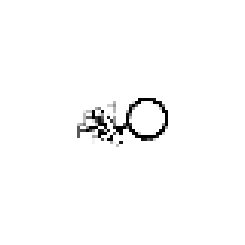 O=C(NS(=O)(=O)C(F)(F)F)C1CCCCCCCCCCC1